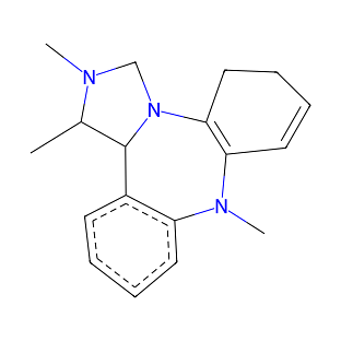 CC1C2c3ccccc3N(C)C3=C(CCC=C3)N2CN1C